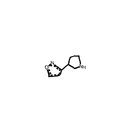 c1cc(C2CCNC2)no1